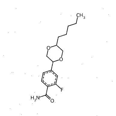 CCCCCC1COC(c2ccc(C(N)=O)c(F)c2)CO1